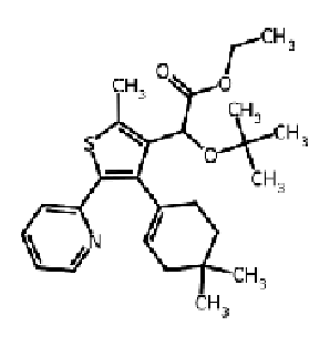 CCOC(=O)C(OC(C)(C)C)c1c(C)sc(-c2ccccn2)c1C1=CCC(C)(C)CC1